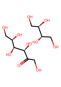 O=C(CO)[C@H](O)[C@@H](O)[C@H](O)CO.OC[C@@H](O)[C@H](O)CO